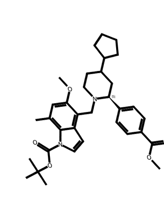 COC(=O)c1ccc([C@@H]2CC(C3CCCC3)CCN2Cc2c(OC)cc(C)c3c2ccn3C(=O)OC(C)(C)C)cc1